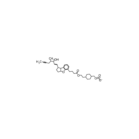 CC#CCC(C)C(O)/C=C/C1CCC2Oc3c(CCCC(=O)OCCC4CCC(CO[N+](=O)[O-])CC4)cccc3C12